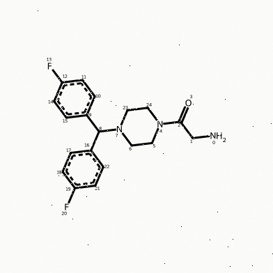 NCC(=O)N1CCN(C(c2ccc(F)cc2)c2ccc(F)cc2)CC1